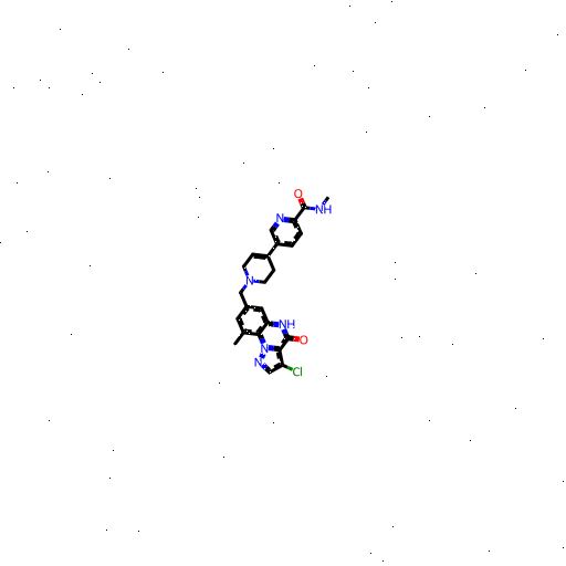 CNC(=O)c1ccc(C2=CCN(Cc3cc(C)c4c(c3)[nH]c(=O)c3c(Cl)cnn34)CC2)cn1